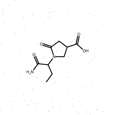 CCC(C(N)=O)N1CC(C(=O)O)CC1=O